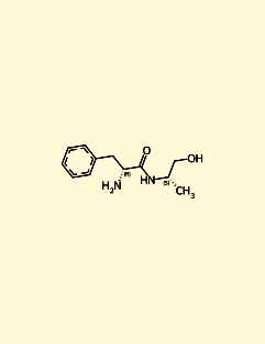 C[C@@H](CO)NC(=O)[C@H](N)Cc1ccccc1